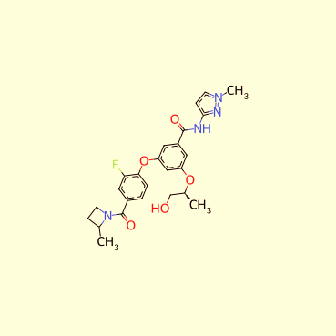 CC1CCN1C(=O)c1ccc(Oc2cc(O[C@@H](C)CO)cc(C(=O)Nc3ccn(C)n3)c2)c(F)c1